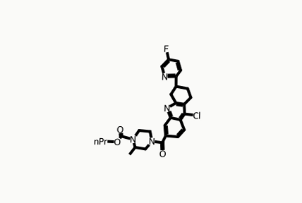 CCCOC(=O)N1CCN(C(=O)c2ccc3c(Cl)c4c(nc3c2)CC(c2ccc(F)cn2)CC4)CC1C